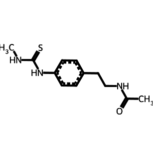 CNC(=S)Nc1ccc(CCNC(C)=O)cc1